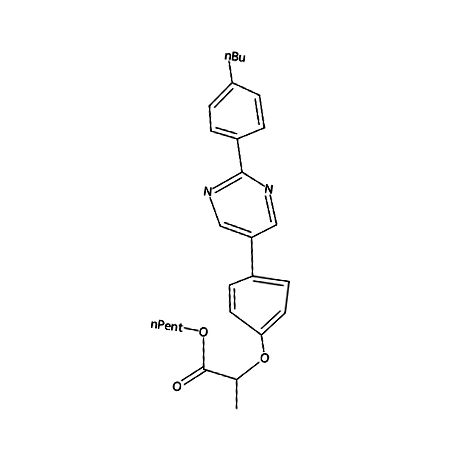 CCCCCOC(=O)C(C)Oc1ccc(-c2cnc(-c3ccc(CCCC)cc3)nc2)cc1